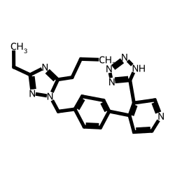 CCCc1nc(CC)nn1Cc1ccc(-c2ccncc2-c2nnn[nH]2)cc1